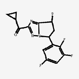 O=C(c1nc2n(n1)C(c1cc(F)cc(F)c1F)CC2F)C1CC1